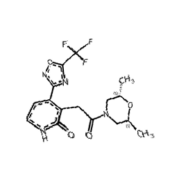 C[C@H]1CN(C(=O)Cc2c(-c3noc(C(F)(F)F)n3)cc[nH]c2=O)C[C@H](C)O1